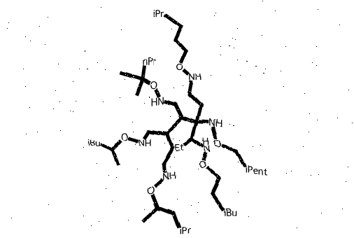 CCCC(C)CONC(CCNOCCCC(C)C)([C](CC)NOCCC(C)CC)C(CNOC(C)(C)CCC)C(CCNOC(C)CC(C)C)CNOC(C)C(C)CC